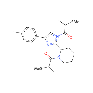 CSC(C)C(=O)N1CCCCC1c1nc(-c2ccc(C)cc2)cn1C(=O)C(C)SC